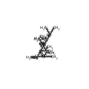 C=C(C)C1CC(SC(=O)N(CCCC(=O)OC(CCCCCCC)CCCCCCC)CCCC(=O)OC(CCCCCCC)CCCC(CCC)C(CCC)CCCC(CCCCCCC)OC(=O)CCCC(CCCC(=O)OC(CCCCCCC)CCCCCCC)C(=O)SC2CCN(C)C2)C1